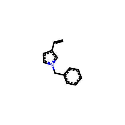 C=Cc1ccn(Cc2ccccc2)c1